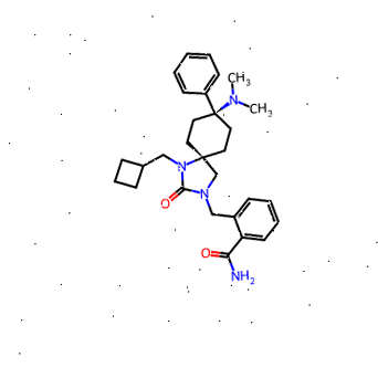 CN(C)[C@]1(c2ccccc2)CC[C@@]2(CC1)CN(Cc1ccccc1C(N)=O)C(=O)N2CC1CCC1